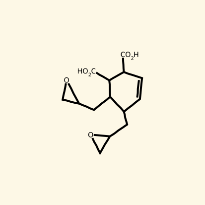 O=C(O)C1C=CC(CC2CO2)C(CC2CO2)C1C(=O)O